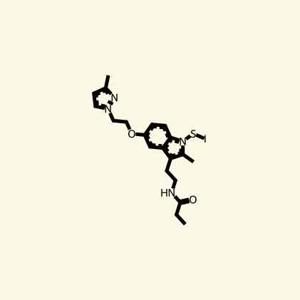 CCC(=O)NCCc1c(C)n(SI)c2ccc(OCCn3ccc(C)n3)cc12